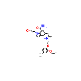 CCc1ccc(OCCN[C@H](C)Cc2cc(C(N)=O)c3c(ccn3CCCO)c2)c(OCC2CC2)c1